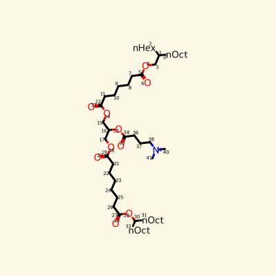 CCCCCCCCC(CCCCCC)COC(=O)CCCCCC(=O)OCC(COC(=O)CCCCCCC(=O)OC(CCCCCCCC)CCCCCCCC)OC(=O)CCCN(C)C